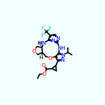 CCOC(=O)C1CC1c1nn(C(C)C)c2c1OC[C@@H]1COC[C@H]1Nc1nc(ncc1C(F)(F)F)N2